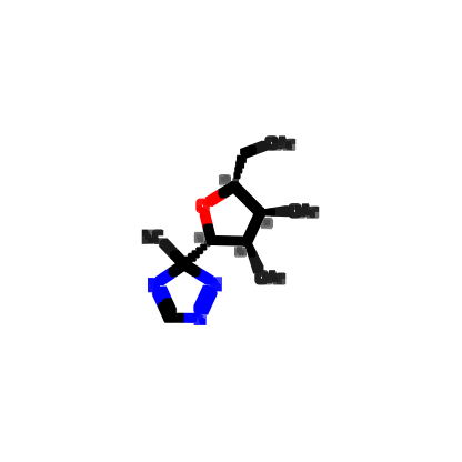 CC(=O)OC[C@H]1O[C@@H](C2(C#N)N=CN=N2)[C@H](OC(C)=O)[C@@H]1OC(C)=O